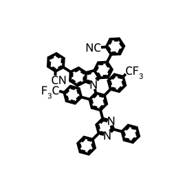 N#Cc1ccccc1-c1ccc2c(c1)c1cc(-c3ccccc3C#N)ccc1n2-c1c(-c2ccc(C(F)(F)F)cc2)cc(-c2cc(-c3ccccc3)nc(-c3ccccc3)n2)cc1-c1ccc(C(F)(F)F)cc1